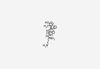 C[C@H](NC(=O)[C@@H]1CCCN1C(=O)[C@@H]1CCCN1C(=O)[C@H](C)NC(=O)[C@@H](N)CCCCN)C(=O)O